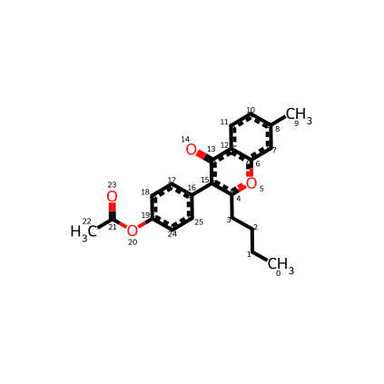 CCCCc1oc2cc(C)ccc2c(=O)c1-c1ccc(OC(C)=O)cc1